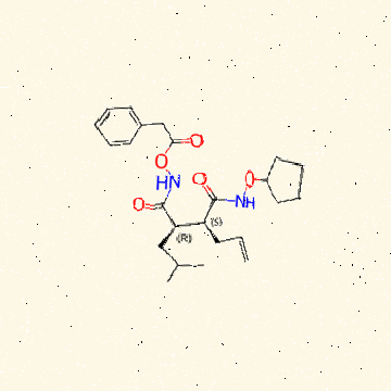 C=CC[C@H](C(=O)NOC1CCCC1)[C@@H](CC(C)C)C(=O)NOC(=O)Cc1ccccc1